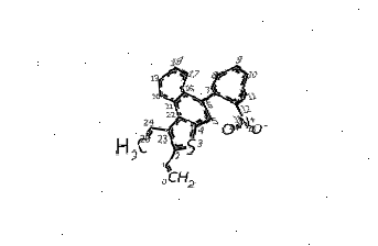 C=Cc1sc2cc(-c3ccccc3[N+](=O)[O-])c3ccccc3c2c1C=C